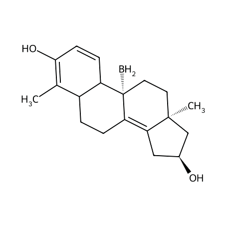 B[C@]12CC[C@@]3(C)C[C@@H](O)CC3=C1CCC1C(C)=C(O)C=CC12